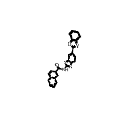 O=C(Nc1nc2ccc(-c3nc4ccccc4o3)cc2s1)c1ccc2ccccc2c1